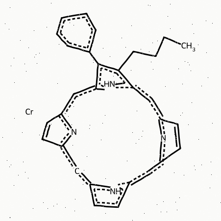 CCCCc1c(-c2ccccc2)c2cc3nc(cc4ccc(cc5nc(cc1[nH]2)C=C5)[nH]4)C=C3.[Cr]